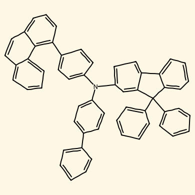 c1ccc(-c2ccc(N(c3ccc(-c4cccc5ccc6ccccc6c45)cc3)c3ccc4c(c3)C(c3ccccc3)(c3ccccc3)c3ccccc3-4)cc2)cc1